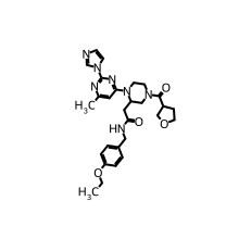 CCOc1ccc(CNC(=O)CC2CN(C(=O)C3CCOC3)CCN2c2cc(C)nc(-n3ccnc3)n2)cc1